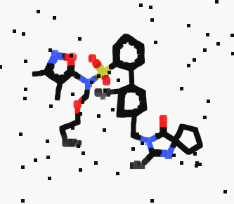 CCCCC1=NC2(CCCC2)C(=O)N1Cc1ccc(-c2ccccc2S(=O)(=O)N(COCCOC)c2onc(C)c2C)c([N+](=O)[O-])c1